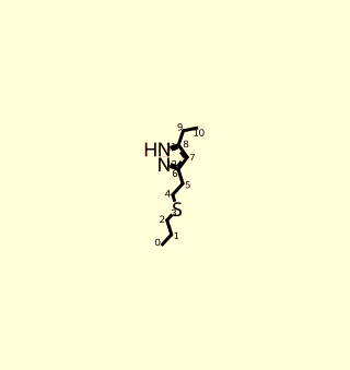 CCCSCCc1cc(CC)[nH]n1